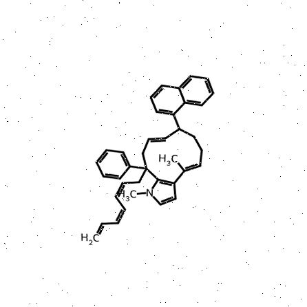 C=C/C=C\C=C/CC1(c2ccccc2)C/C=C/C(c2cccc3ccccc23)CC/C=C(\C)c2ccn(C)c21